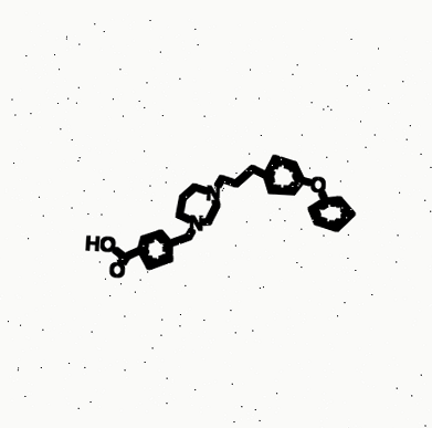 O=C(O)c1ccc(CN2CCCN(CCCc3ccc(Oc4ccccc4)cc3)CC2)cc1